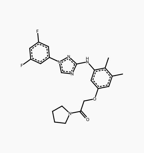 Cc1cc(OCC(=O)N2CCCC2)cc(Nc2ncn(-c3cc(F)cc(F)c3)n2)c1C